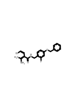 CC/C=C\C(C(=O)NCc1ccc(OCc2ccccc2)cc1F)=C(/C)N